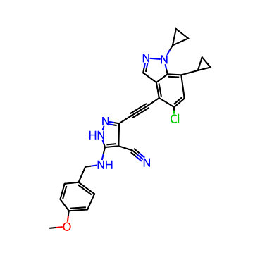 COc1ccc(CNc2[nH]nc(C#Cc3c(Cl)cc(C4CC4)c4c3cnn4C3CC3)c2C#N)cc1